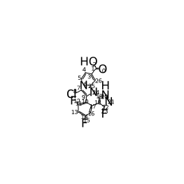 O=C(O)c1ccn2c(Cl)c(-c3c(F)cc(F)cc3-c3c[nH]nc3F)nc2c1